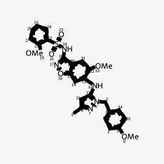 COc1ccc(Cn2nc(C)cc2Nc2cc3onc(NS(=O)(=O)c4ccccc4OC)c3cc2OC)cc1